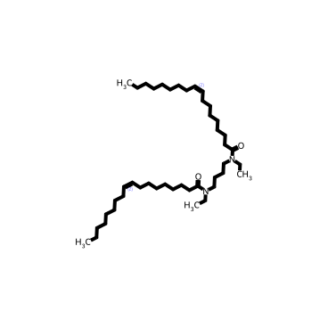 CCCCCCCC/C=C\CCCCCCCC(=O)N(CC)CCCCN(CC)C(=O)CCCCCCC/C=C\CCCCCCCC